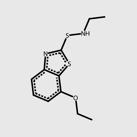 CCNSc1nc2cccc(OCC)c2s1